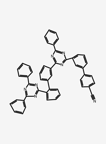 N#Cc1ccc(-c2cccc(-c3nc(-c4ccccc4)nc(-c4cccc(-c5ccccc5-c5nc(-c6ccccc6)nc(-c6ccccc6)n5)c4)n3)c2)cc1